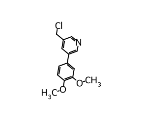 COc1ccc(-c2cncc(CCl)c2)cc1OC